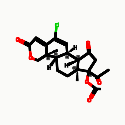 CC(=O)O[C@]1(C(C)=O)CC(=O)[C@H]2[C@@H]3C=C(Cl)C4=CC(=O)OC[C@]4(C)[C@H]3CC[C@@]21C